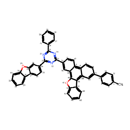 N#Cc1ccc(-c2ccc3c4ccc(-c5nc(-c6ccccc6)nc(-c6ccc7c(c6)oc6ccccc67)n5)cc4c4oc5ccccc5c4c3c2)cc1